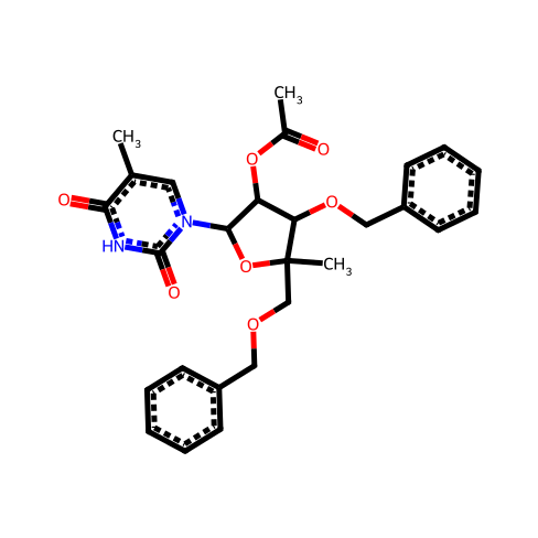 CC(=O)OC1C(n2cc(C)c(=O)[nH]c2=O)OC(C)(COCc2ccccc2)C1OCc1ccccc1